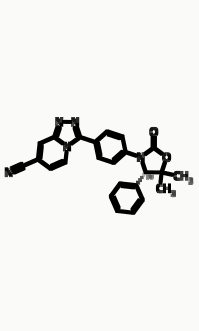 CC1(C)OC(=O)N(c2ccc(-c3nnc4cc(C#N)ccn34)cc2)[C@H]1c1ccccc1